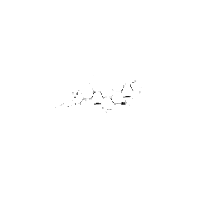 N#Cc1cnc2cc(-c3cn(CCF)nn3)c(N)cc2c1Nc1ccc(F)c(Cl)c1